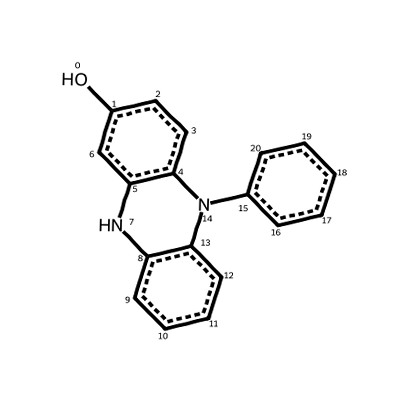 Oc1ccc2c(c1)Nc1ccccc1N2c1ccccc1